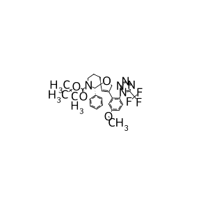 COc1ccc(-n2nnnc2C(F)(F)F)c(C2=C[C@@]3(CCCN(C(=O)OC(C)(C)C)[C@H]3c3ccccc3)OC2)c1